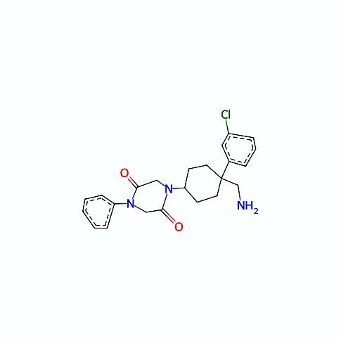 NCC1(c2cccc(Cl)c2)CCC(N2CC(=O)N(c3ccccc3)CC2=O)CC1